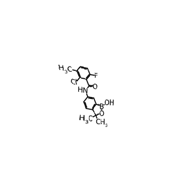 Cc1ccc(F)c(C(=O)Nc2ccc3c(c2)B(O)OC3(C)C)c1Cl